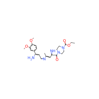 CCOC(=O)N1CCN(C(=O)C(=N)/C=C(C)/N=C\C=C(/N)c2ccc(OC)c(OC)c2)CC1